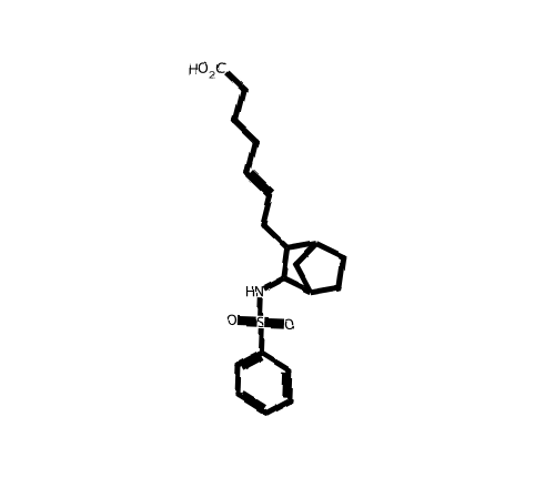 O=C(O)CCC/C=C/CC1C2CCC(C2)C1NS(=O)(=O)c1ccccc1